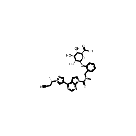 C[C@@H](CC#N)n1cc(-c2ncnc3c2ccn3C(=O)N(C)Cc2ccccc2O[C@@H]2O[C@H](C(=O)O)[C@@H](O)[C@H](O)[C@H]2O)cn1